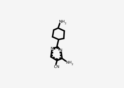 N#Cc1cnc(C2CCC(N)CC2)nc1N